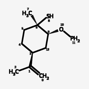 C=C(C)[C@H]1CC[C@@](C)(S)[C@H](OP)C1